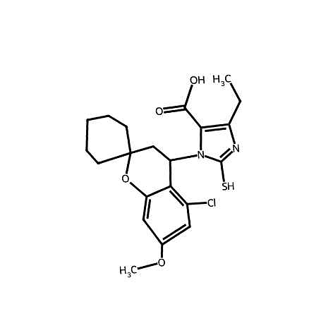 CCc1nc(S)n(C2CC3(CCCCC3)Oc3cc(OC)cc(Cl)c32)c1C(=O)O